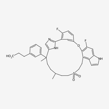 CC1CCC(C)(c2cccc(CCC(=O)O)c2)c2cnc([nH]2)-c2cc(ccc2F)Oc2c(F)cc3[nH]ccc3c2CCS(=O)(=O)CC1